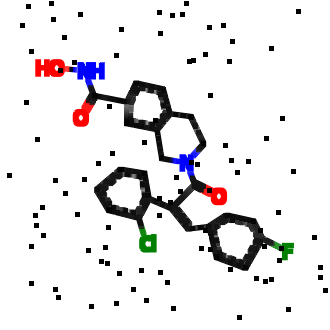 O=C(NO)c1ccc2c(c1)CN(C(=O)C(=Cc1ccc(F)cc1)c1ccccc1Cl)CC2